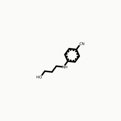 N#Cc1ccc(NCCCO)cc1